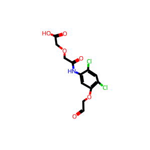 O=CCOc1cc(NC(=O)COCC(=O)O)c(Cl)cc1Cl